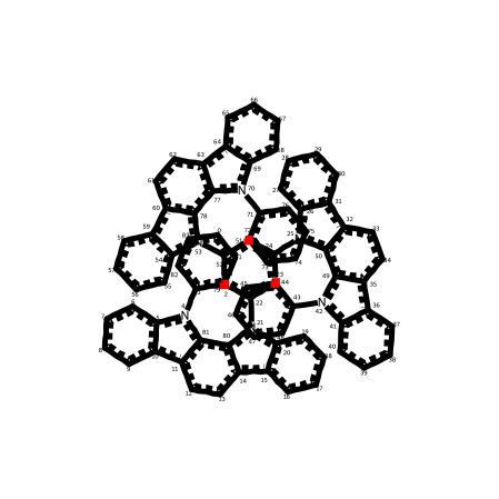 c1ccc(-n2c3ccccc3c3ccc4c5ccccc5n(-c5nc(-n6c7ccccc7c7ccc8c9ccccc9n(-c9ccccc9)c8c76)nc(-n6c7ccccc7c7ccc8c9ccccc9n(-c9ccccc9)c8c76)n5)c4c32)cc1